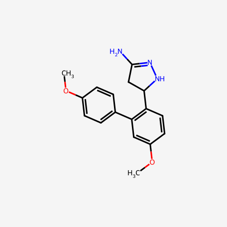 COc1ccc(-c2cc(OC)ccc2C2CC(N)=NN2)cc1